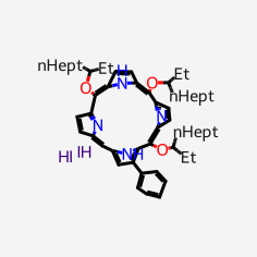 CCCCCCCC(CC)Oc1c2nc(cc3cc(-c4ccccc4)c([nH]3)c(OC(CC)CCCCCCC)c3nc(c(OC(CC)CCCCCCC)c4ccc1[nH]4)C=C3)C=C2.I.I